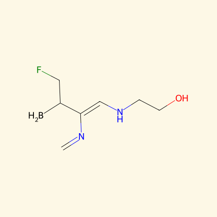 BC(CF)/C(=C/NCCO)N=C